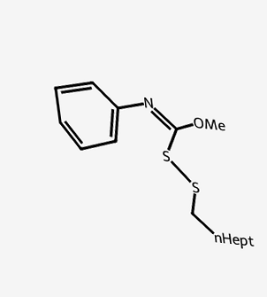 CCCCCCCCSSC(=Nc1ccccc1)OC